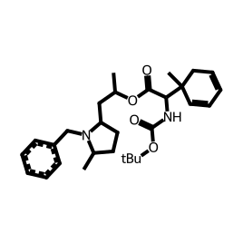 CC(CC1CCC(C)N1Cc1ccccc1)OC(=O)C(NC(=O)OC(C)(C)C)C1(C)C=CC=CC1